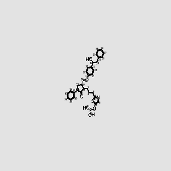 O=C1[C@H](CCCc2ncc(OP(O)O)s2)[C@@H](COc2ccc(C(O)Cc3ccccc3)cc2)CN1c1ccccc1